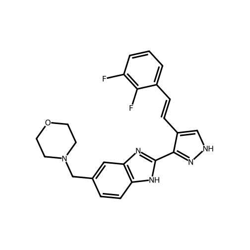 Fc1cccc(C=Cc2c[nH]nc2-c2nc3cc(CN4CCOCC4)ccc3[nH]2)c1F